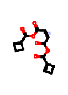 O=C(/C=C\C(=O)OC(=O)C1=CCC1)OC(=O)C1=CCC1